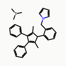 CC1=C(c2ccccc2)C(c2ccccc2)=C(C)C1c1ccccc1Cn1cccc1.[CH3][Ti]([CH3])[CH3]